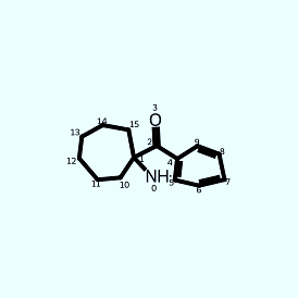 [NH]C1(C(=O)c2ccccc2)CCCCCC1